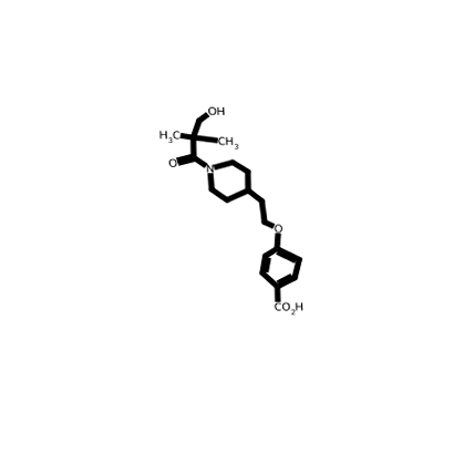 CC(C)(CO)C(=O)N1CCC(CCOc2ccc(C(=O)O)cc2)CC1